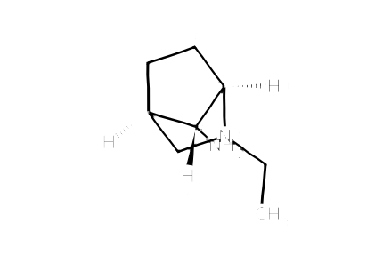 CCN1C[C@H]2CC[C@@H]1[C@@H]2N